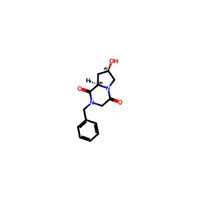 O=C1[C@H]2C[C@@H](O)CN2C(=O)CN1Cc1ccccc1